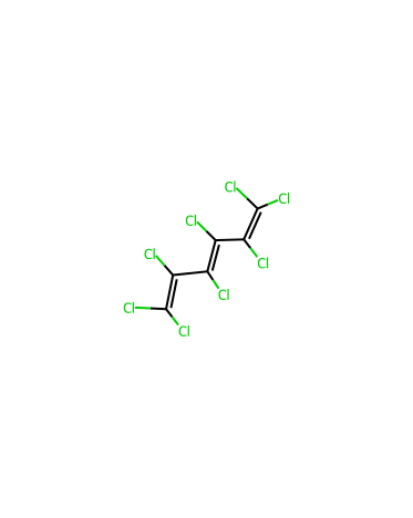 ClC(Cl)=C(Cl)C(Cl)=C(Cl)C(Cl)=C(Cl)Cl